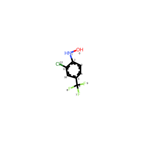 ONc1ccc(C(F)(F)F)cc1Cl